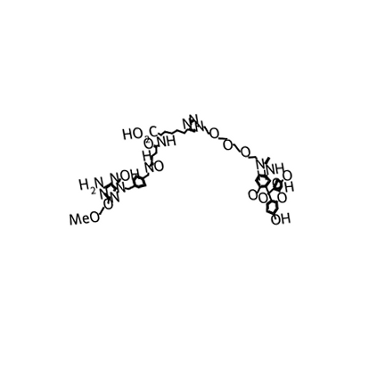 C=C(NCCOCCOCCOCCn1cc(CCCCC(NC(=O)CCC(=O)NCc2ccc(Cn3c(O)nc4c(N)nc(OCCOC)nc43)cc2)C(=O)O)nn1)Nc1ccc2c(c1)C1(OC2=O)c2ccc(O)cc2Oc2cc(O)ccc21